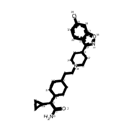 NC(=O)C(C1CCC(CCN2CCC(c3noc4cc(Cl)ccc34)CC2)CC1)C1CC1